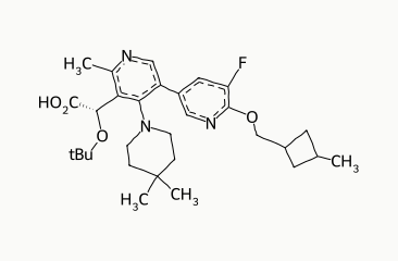 Cc1ncc(-c2cnc(OCC3CC(C)C3)c(F)c2)c(N2CCC(C)(C)CC2)c1[C@H](OC(C)(C)C)C(=O)O